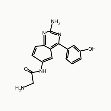 NCC(=O)Nc1ccc2nc(N)nc(-c3cccc(O)c3)c2c1